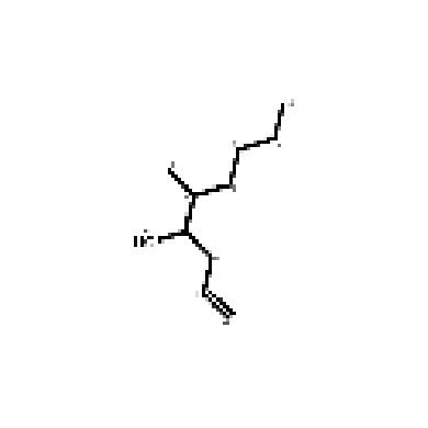 C=CCC(O)C(C)CCCC